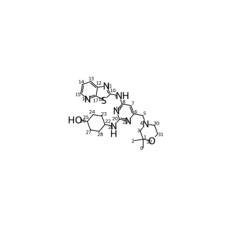 CC1(C)CN(Cc2cc(Nc3nc4cccnc4s3)nc(NC3CCC(O)CC3)n2)CCO1